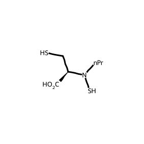 CCCN(S)[C@H](CS)C(=O)O